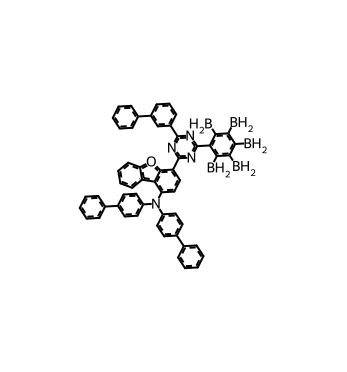 Bc1c(B)c(B)c(-c2nc(-c3cccc(-c4ccccc4)c3)nc(-c3ccc(N(c4ccc(-c5ccccc5)cc4)c4ccc(-c5ccccc5)cc4)c4c3oc3ccccc34)n2)c(B)c1B